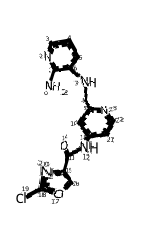 Nc1ncccc1NCc1cc(NC(=O)c2coc(Cl)n2)ccn1